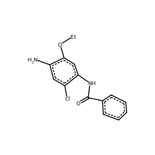 CCOc1cc(NC(=O)c2ccccc2)c(Cl)cc1N